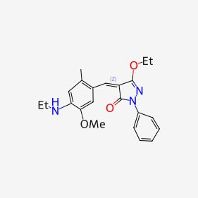 CCNc1cc(C)c(/C=C2\C(=O)N(c3ccccc3)N=C2OCC)cc1OC